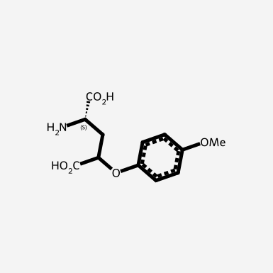 COc1ccc(OC(C[C@H](N)C(=O)O)C(=O)O)cc1